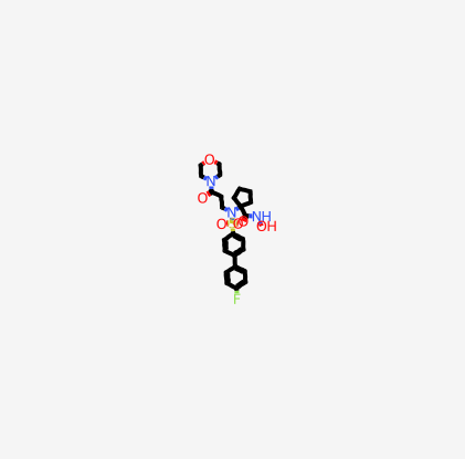 O=C(CCN(C1(C(=O)NO)CCCC1)S(=O)(=O)c1ccc(-c2ccc(F)cc2)cc1)N1CCOCC1